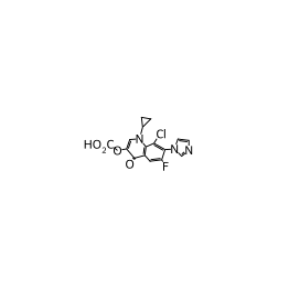 O=C(O)Oc1cn(C2CC2)c2c(Cl)c(-n3ccnc3)c(F)cc2c1=O